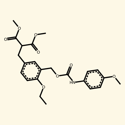 CCOc1ccc(CC(C(=O)OC)C(=O)OC)cc1COC(=O)Nc1ccc(OC)cc1